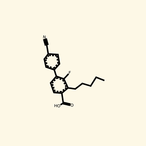 CCCCCc1c(C(=O)O)ccc(-c2ccc(C#N)cc2)c1F